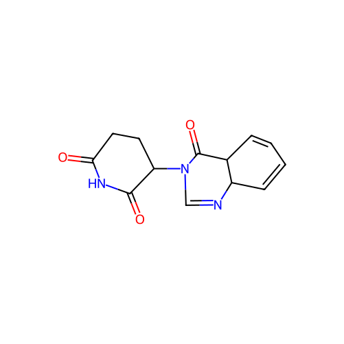 O=C1CCC(N2C=NC3C=CC=CC3C2=O)C(=O)N1